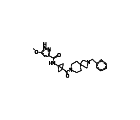 COc1cc(C(=O)NC23CC2(C(=O)N2CCC4(CC2)CN(Cc2ccccc2)C4)C3)n[nH]1